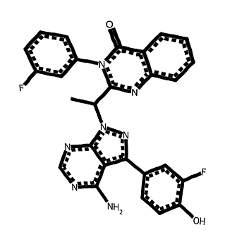 CC(c1nc2ccccc2c(=O)n1-c1cccc(F)c1)n1nc(-c2ccc(O)c(F)c2)c2c(N)ncnc21